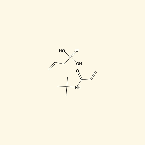 C=CC(=O)NC(C)(C)C.C=CCP(=O)(O)O